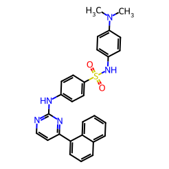 CN(C)c1ccc(NS(=O)(=O)c2ccc(Nc3nccc(-c4cccc5ccccc45)n3)cc2)cc1